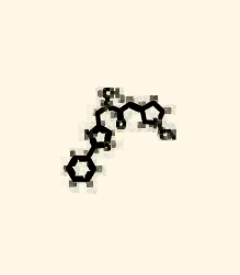 CN(Cc1csc(-c2ccccc2)n1)C(=O)C=C1CCN(C#N)C1